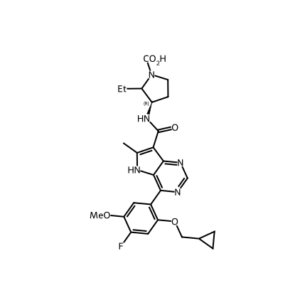 CCC1[C@H](NC(=O)c2c(C)[nH]c3c(-c4cc(OC)c(F)cc4OCC4CC4)ncnc23)CCN1C(=O)O